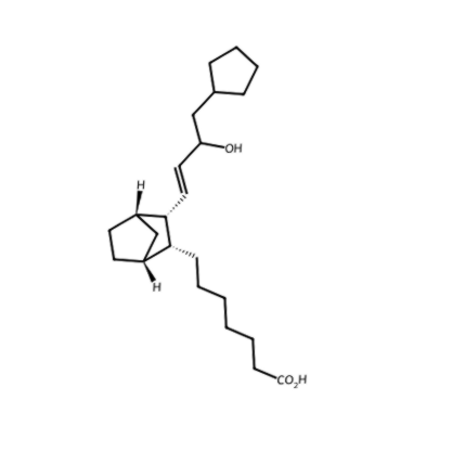 O=C(O)CCCCCC[C@@H]1[C@@H]2CC[C@@H](C2)[C@@H]1C=CC(O)CC1CCCC1